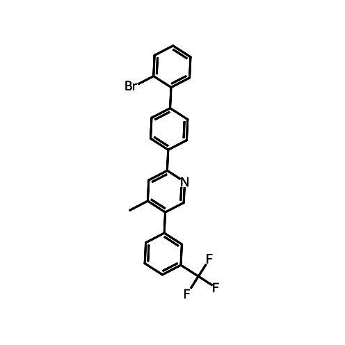 Cc1cc(-c2ccc(-c3ccccc3Br)cc2)ncc1-c1cccc(C(F)(F)F)c1